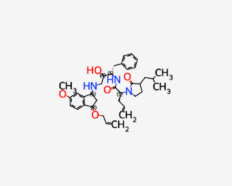 C=CCO[C@@H]1C[C@H](NC[C@@H](O)[C@H](Cc2ccccc2)NC(=O)[C@H](CC=C)N2CCC(CC(C)C)C2=O)c2cc(OC)ccc21